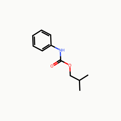 CC(C)COC(=O)Nc1ccccc1